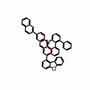 c1ccc(-c2ccccc2-c2c(-c3ccccc3)cccc2N(c2ccc(-c3ccc4ccccc4c3)cc2)c2ccc(-c3cccc4oc5ccccc5c34)cc2)cc1